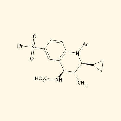 CC(=O)N1c2ccc(S(=O)(=O)C(C)C)cc2[C@H](NC(=O)O)[C@@H](C)[C@@H]1C1CC1